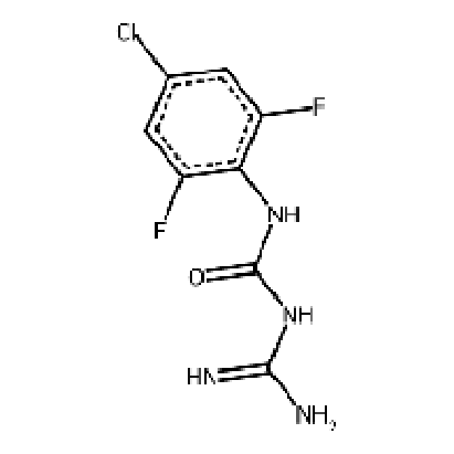 N=C(N)NC(=O)Nc1c(F)cc(Cl)cc1F